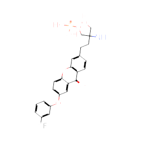 NC(CO)(CCc1ccc2c(=O)c3cc(Oc4cccc(C(F)(F)F)c4)ccc3oc2c1)COP(=O)(O)O